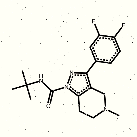 CN1CCc2c(c(-c3ccc(F)c(F)c3)nn2C(=O)NC(C)(C)C)C1